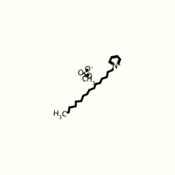 CCCCCCCCCCCCCCCC[n+]1ccccc1.CS(=O)(=O)[O-]